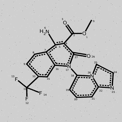 COC(=O)c1c(N)c2ccc(C(F)(F)F)cc2n(-c2cccc3nccn23)c1=O